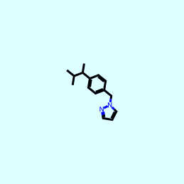 CC(C)C(C)c1ccc(Cn2cccn2)cc1